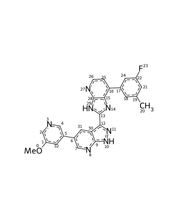 COc1cncc(-c2cnc3[nH]nc(-c4nc5c(-c6cc(C)cc(F)c6)ccnc5[nH]4)c3c2)c1